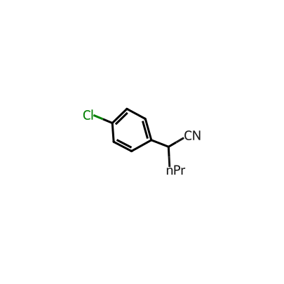 CCCC(C#N)c1ccc(Cl)cc1